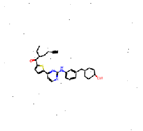 C#CCCC(CC)C(=O)c1ccc(-c2ccnc(Nc3cccc(CC4CCC(O)CC4)c3)n2)s1